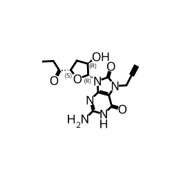 C#CCn1c(=O)n([C@@H]2O[C@H](C(=O)CC)C[C@H]2O)c2nc(N)[nH]c(=O)c21